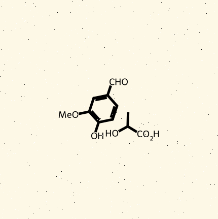 CC(O)C(=O)O.COc1cc(C=O)ccc1O